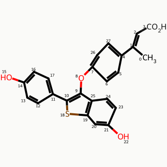 CC(=CC(=O)O)c1ccc(Oc2c(-c3ccc(O)cc3)sc3cc(O)ccc23)cc1